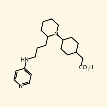 O=C(O)CC1CCC(N2CCCCC2CCCNc2ccncc2)CC1